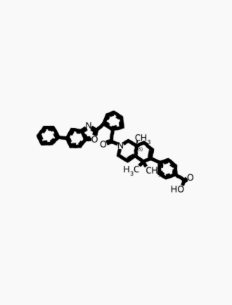 CC1(C)C(c2ccc(C(=O)O)cc2)=CC[C@]2(C)CN(C(=O)c3ccccc3-c3nc4cc(-c5ccccc5)ccc4o3)CC=C12